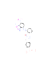 O=C(NCc1ccc(B(O)O)cc1)c1ccccc1Nc1ccc([N+](=O)[O-])c2nonc12